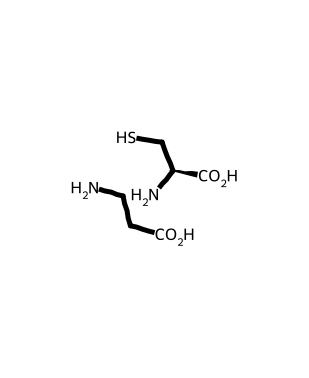 NCCC(=O)O.N[C@@H](CS)C(=O)O